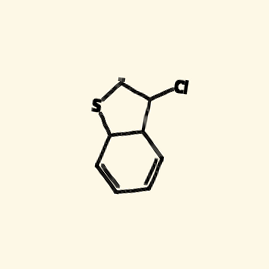 ClC1[C]SC2C=CC=CC12